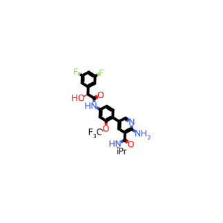 CC(C)NC(=O)c1cc(-c2ccc(NC(=O)[C@H](O)c3cc(F)cc(F)c3)cc2OC(F)(F)F)cnc1N